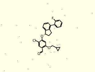 O=Cc1cc(Cl)c(O[C@H]2CCc3c(-c4ccccc4F)cccc32)cc1OCC1CC1